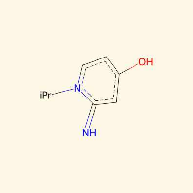 CC(C)n1ccc(O)cc1=N